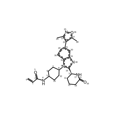 C=CC(=O)NC1CCC(n2c([C@@H]3CCCC(=O)N3)nc3cc(-c4c(C)noc4C)ccc32)CC1